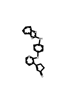 O=C1C=C(c2cccnc2Oc2ccc(Nc3nc4ccccc4s3)cc2)CC1